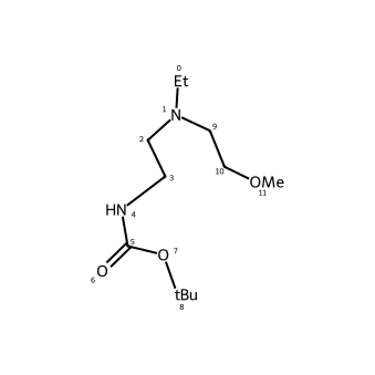 CCN(CCNC(=O)OC(C)(C)C)CCOC